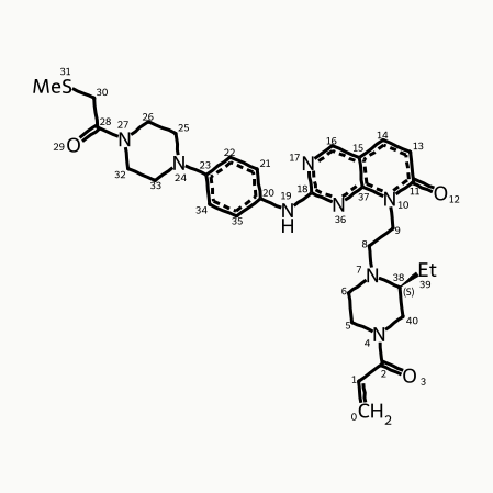 C=CC(=O)N1CCN(CCn2c(=O)ccc3cnc(Nc4ccc(N5CCN(C(=O)CSC)CC5)cc4)nc32)[C@@H](CC)C1